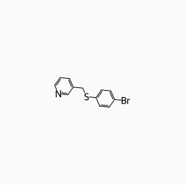 Brc1ccc(SCc2cccnc2)cc1